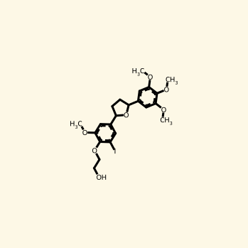 COc1cc(C2CCC(c3cc(OC)c(OC)c(OC)c3)O2)cc(I)c1OCCO